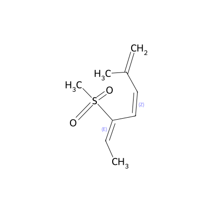 C=C(C)/C=C\C(=C/C)S(C)(=O)=O